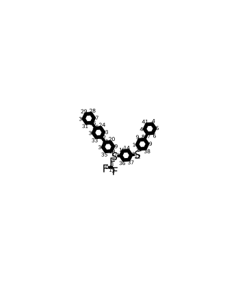 FC(F)F.c1ccc(-c2ccc(Sc3ccc(Sc4ccc(-c5ccc(-c6ccccc6)cc5)cc4)cc3)cc2)cc1